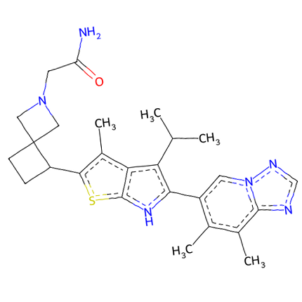 Cc1c(-c2[nH]c3sc(C4CCC45CN(CC(N)=O)C5)c(C)c3c2C(C)C)cn2ncnc2c1C